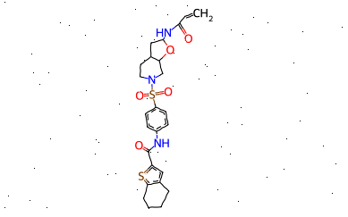 C=CC(=O)NC1CC2CCN(S(=O)(=O)c3ccc(NC(=O)c4cc5c(s4)CCCC5)cc3)CC2O1